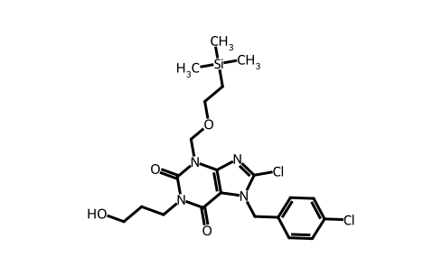 C[Si](C)(C)CCOCn1c(=O)n(CCCO)c(=O)c2c1nc(Cl)n2Cc1ccc(Cl)cc1